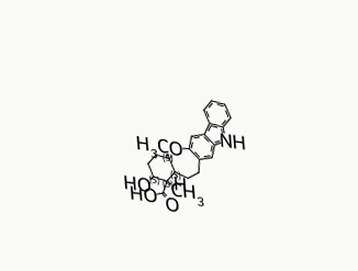 C[C@@]1(C(=O)O)[C@@H](O)CC[C@]2(C)Oc3cc4c(cc3CC[C@@H]12)[nH]c1ccccc14